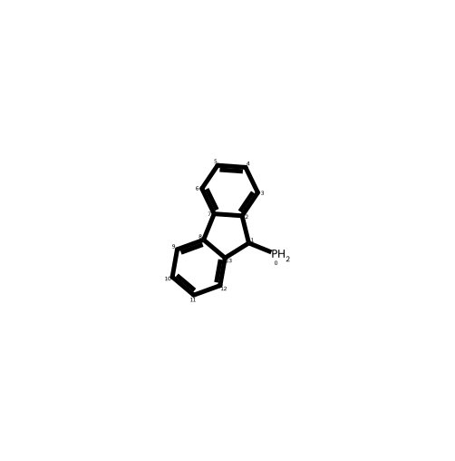 PC1c2ccccc2-c2ccccc21